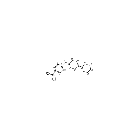 O=C(Cl)c1ccc(CC2CCN(C3CCCCC3)CC2)cc1